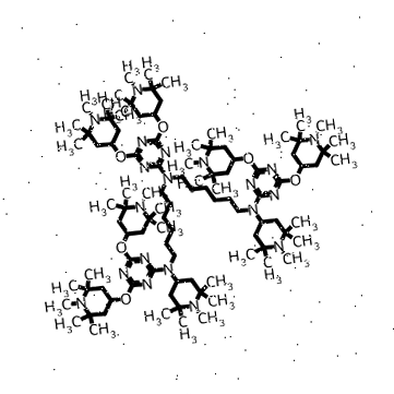 CN1C(C)(C)CC(Oc2nc(OC3CC(C)(C)N(C)C(C)(C)C3)nc(N(CCCCCCN(c3nc(OC4CC(C)(C)N(C)C(C)(C)C4)nc(OC4CC(C)(C)N(C)C(C)(C)C4)n3)C3CC(C)(C)N(C)C(C)(C)C3)CCCCCCN(c3nc(OC4CC(C)(C)N(C)C(C)(C)C4)nc(OC4CC(C)(C)N(C)C(C)(C)C4)n3)C3CC(C)(C)N(C)C(C)(C)C3)n2)CC1(C)C